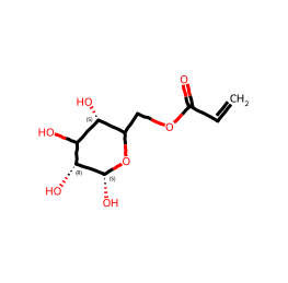 C=CC(=O)OCC1O[C@H](O)[C@H](O)C(O)[C@@H]1O